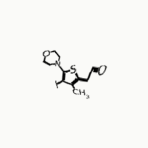 Cc1c(CC=O)sc(N2CCOCC2)c1I